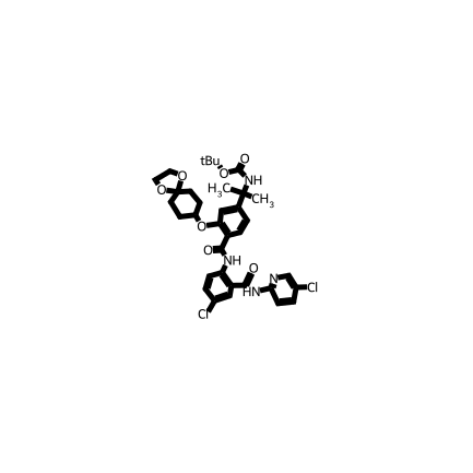 CC(C)(C)OC(=O)NC(C)(C)c1ccc(C(=O)Nc2ccc(Cl)cc2C(=O)Nc2ccc(Cl)cn2)c(OC2CCC3(CC2)OCCO3)c1